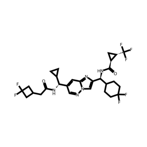 O=C(CC1CC(F)(F)C1)N[C@@H](c1cnn2cc([C@@H](NC(=O)[C@H]3C[C@@H]3C(F)(F)F)C3CCC(F)(F)CC3)nc2c1)C1CC1